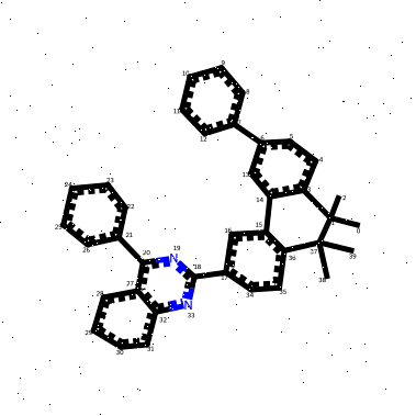 CC1(C)c2ccc(-c3ccccc3)cc2-c2cc(-c3nc(-c4ccccc4)c4ccccc4n3)ccc2C1(C)C